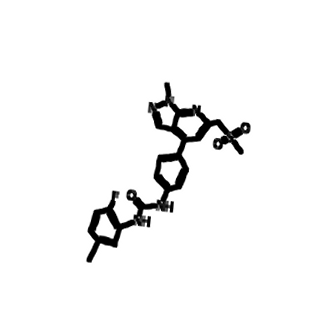 Cc1ccc(F)c(NC(=O)Nc2ccc(-c3cc(CS(C)(=O)=O)nc4c3cnn4C)cc2)c1